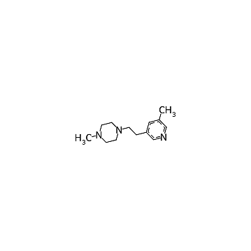 Cc1cncc(CCN2CCN(C)CC2)c1